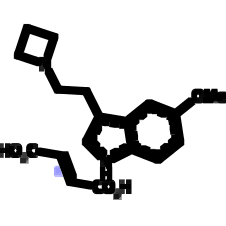 COc1ccc2[nH]cc(CCN3CCC3)c2c1.O=C(O)/C=C/C(=O)O